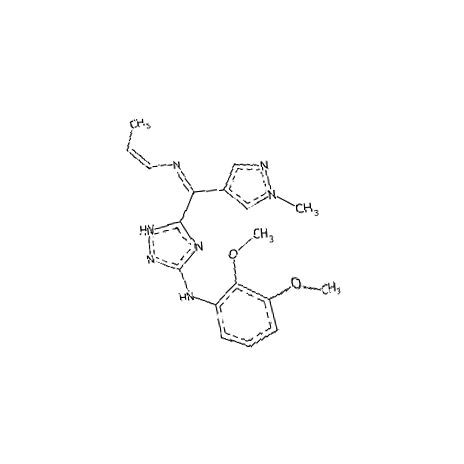 C/C=C\N=C(\c1cnn(C)c1)c1nc(Nc2cccc(OC)c2OC)n[nH]1